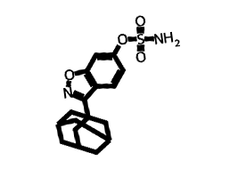 NS(=O)(=O)Oc1ccc2c(C34CC5CC(CC(C5)C3)C4)noc2c1